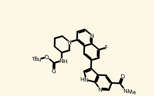 CNC(=O)c1cnc2[nH]cc(-c3cc(F)c4nccc(N5CCCC(NC(=O)OC(C)(C)C)C5)c4c3)c2c1